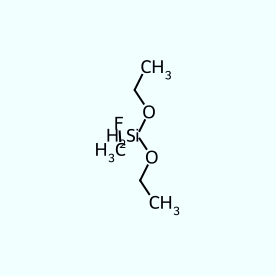 CCO[SiH2]OCC.CF